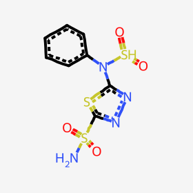 NS(=O)(=O)c1nnc(N(c2ccccc2)[SH](=O)=O)s1